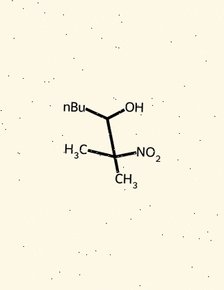 CCCCC(O)C(C)(C)[N+](=O)[O-]